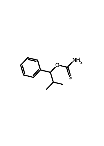 CC(C)C(OC(N)=S)c1ccccc1